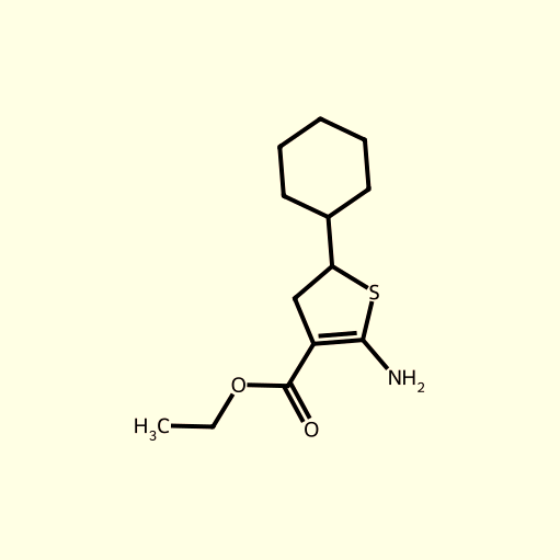 CCOC(=O)C1=C(N)SC(C2CCCCC2)C1